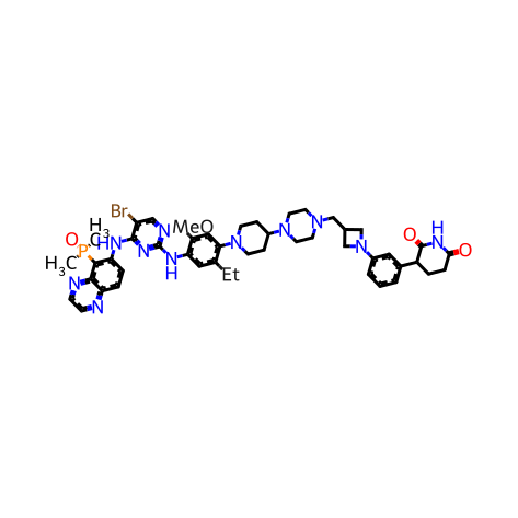 CCc1cc(Nc2ncc(Br)c(Nc3ccc4nccnc4c3P(C)(C)=O)n2)c(OC)cc1N1CCC(N2CCN(CC3CN(c4cccc(C5CCC(=O)NC5=O)c4)C3)CC2)CC1